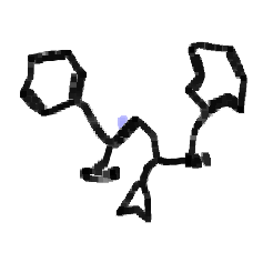 O=C/C(=C\C(Nc1ccccc1)C1CC1)c1ccccc1